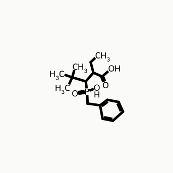 CCC(C(=O)O)C(C(C)(C)C)P(=O)(O)Cc1ccccc1